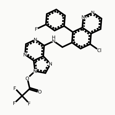 O=C(On1cnc2c(NCc3cc(Cl)c4ccnnc4c3-c3cccc(F)c3)ncnc21)C(F)(F)F